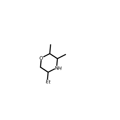 CCC1COC(C)C(C)N1